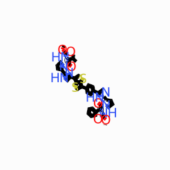 COC(=O)N[C@H](C(=O)N1CC=CC1c1nc(-c2csc3c(-c4ccc(-c5cnc(C6C=CCN6C(=O)[C@H](NC(=O)OC)c6ccccc6)[nH]5)cc4)csc23)c[nH]1)C(C)C